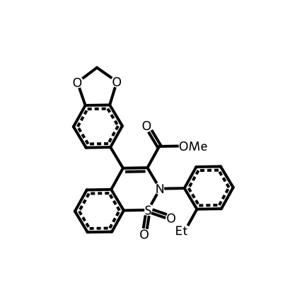 CCc1ccccc1N1C(C(=O)OC)=C(c2ccc3c(c2)OCO3)c2ccccc2S1(=O)=O